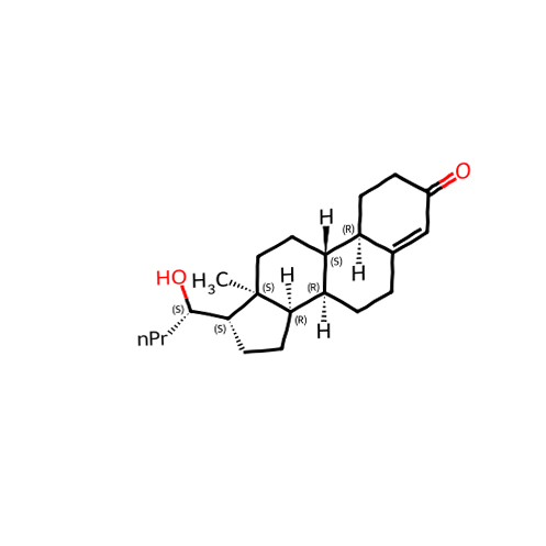 CCC[C@H](O)[C@H]1CC[C@@H]2[C@@H]3CCC4=CC(=O)CC[C@@H]4[C@H]3CC[C@@]21C